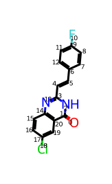 O=c1[nH]c(C=Cc2ccc(F)cc2)nc2ccc(Cl)cc12